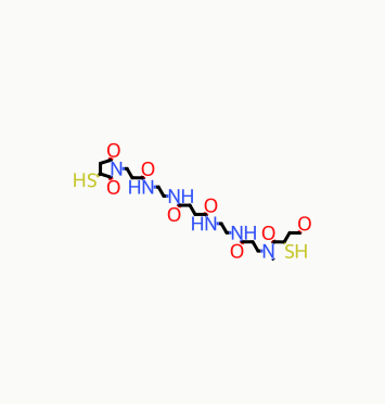 CN(CCC(=O)NCCNC(=O)CCC(=O)NCCNC(=O)CCN1C(=O)CC(S)C1=O)C(=O)C(S)CC=O